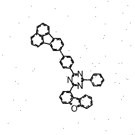 c1ccc(-c2nc(-c3ccc(-c4ccc5c(c4)-c4cccc6cccc-5c46)cc3)nc(-c3cccc4oc5ccccc5c34)n2)cc1